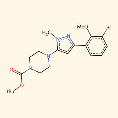 COc1c(Br)cccc1-c1cc(N2CCN(C(=O)OC(C)(C)C)CC2)n(C)n1